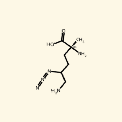 C[C@@](N)(CCC(CN)N=[N+]=[N-])C(=O)O